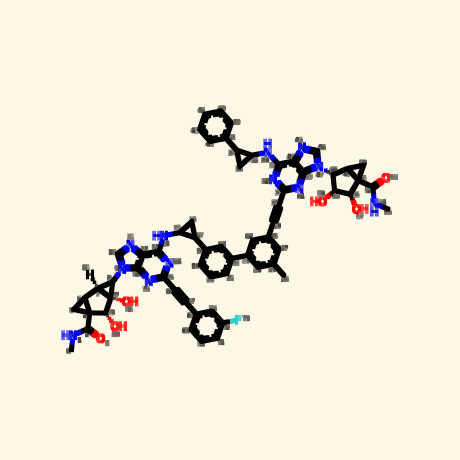 CNC(=O)C12CC1[C@H]1C(n3cnc4c(NC5CC5c5cccc(-c6cc(C)cc(C#Cc7nc(NC8CC8c8ccccc8)c8ncn([C@@H]9C%10CC%10(C(=O)NC)[C@@H](O)[C@H]9O)c8n7)c6)c5)nc(C#Cc5cccc(F)c5)nc43)[C@@]1(O)[C@@H]2O